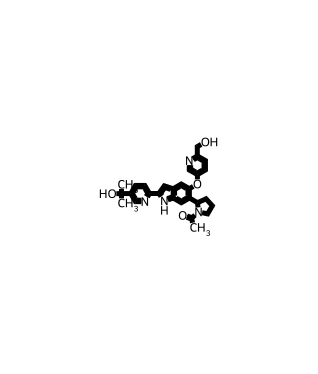 CC(=O)N1CCCC1c1cc2[nH]c(-c3ccc(C(C)(C)O)cn3)cc2cc1Oc1ccc(CO)nc1